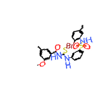 COc1cc(C)cc(C(=O)NC(=S)Nc2cccc(S(=O)(=O)Nc3cc(C)ccc3Br)c2)c1